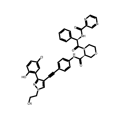 N#CCCn1cc(C#Cc2ccc(NC(=O)[C@@H]3COCCN3C(=O)[C@H](NC(=O)c3cnccn3)c3ccccc3)cc2)c(-c2cc(Cl)ccc2O)n1